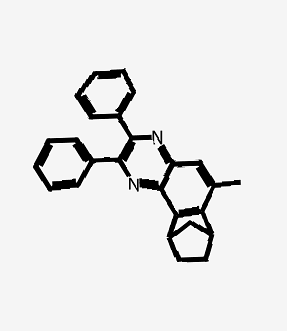 Cc1cc2nc(-c3ccccc3)c(-c3ccccc3)nc2c2c1C1CCC2C1